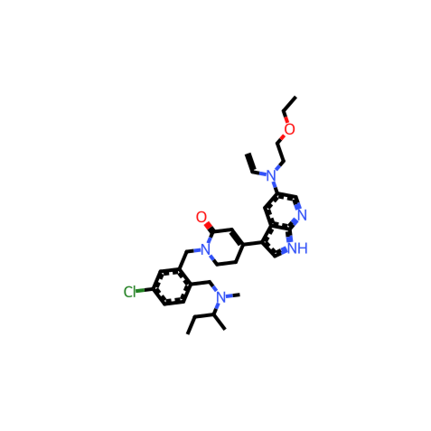 C=CN(CCOCC)c1cnc2[nH]cc(C3=CC(=O)N(Cc4cc(Cl)ccc4CN(C)C(C)CC)CC3)c2c1